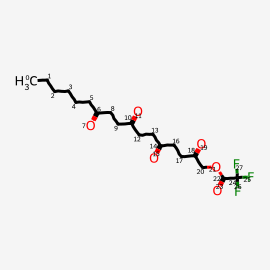 CCCCCCC(=O)CCC(=O)CCC(=O)CCC(=O)COC(=O)C(F)(F)F